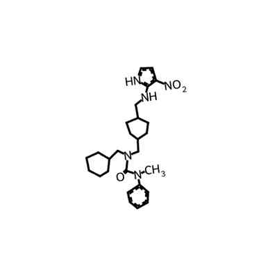 CN(C(=O)N(CC1CCCCC1)CC1CCC(CNc2[nH]ccc2[N+](=O)[O-])CC1)c1ccccc1